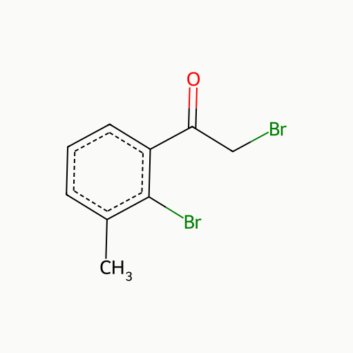 Cc1cccc(C(=O)CBr)c1Br